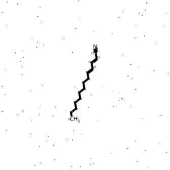 CCCCCCCCCC=CC=CC#N